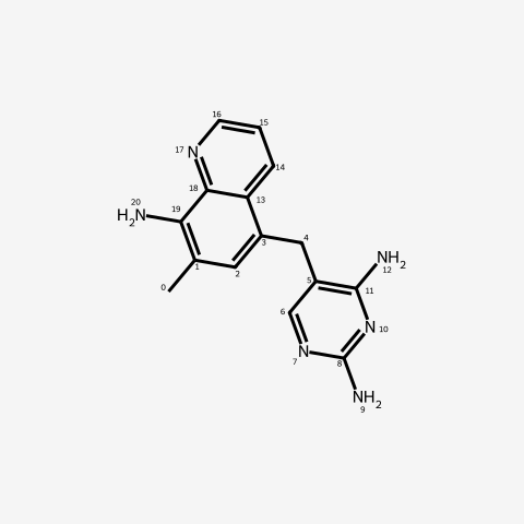 Cc1cc(Cc2cnc(N)nc2N)c2cccnc2c1N